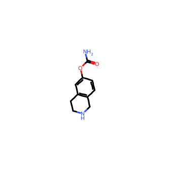 NC(=O)Oc1ccc2c(c1)CCNC2